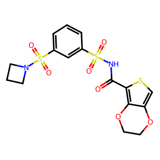 O=C(NS(=O)(=O)c1cccc(S(=O)(=O)N2CCC2)c1)c1scc2c1OCCO2